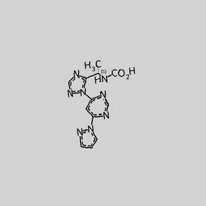 C[C@H](NC(=O)O)c1ncnn1-c1cc(-n2cccn2)ncn1